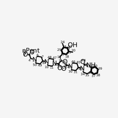 CCCCCOC(=O)CN1CCC(N2CCN(C(=O)[C@@H](Cc3cc(C)c(O)c(C)c3)OC(=O)N3CCC(N4CCc5ccccc5NC4=O)CC3)CC2)CC1